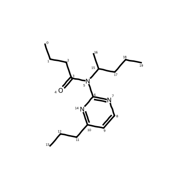 CCCC(=O)N(c1nccc(CCC)n1)C(C)CCC